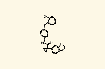 O=C(Nc1ccc(Cc2ccccc2Cl)cn1)C1(c2ccc3c(c2)OCO3)CC1